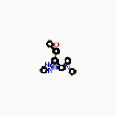 c1ccc(-n2c3ccccc3c3c4c5cc(-c6ccc7oc8ccccc8c7c6)cc6c7nc8ccccc8nc7n(c4ccc32)c65)cc1